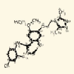 COc1cc2c(Nc3ccc(Cl)cc3F)ncnc2cc1OCCn1c(C)nnc1C.Cl